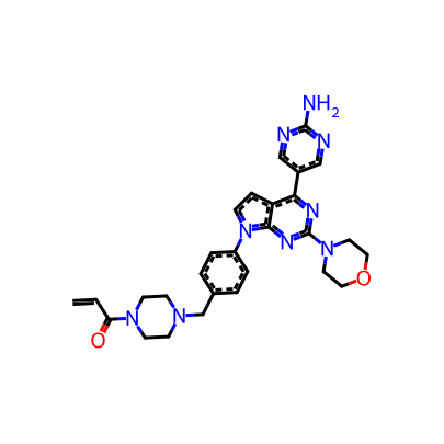 C=CC(=O)N1CCN(Cc2ccc(-n3ccc4c(-c5cnc(N)nc5)nc(N5CCOCC5)nc43)cc2)CC1